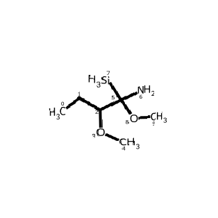 CCC(OC)C(N)([SiH3])OC